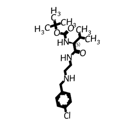 CC(C)[C@H](NC(=O)OC(C)(C)C)C(=O)NCCNCc1ccc(Cl)cc1